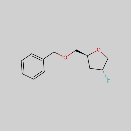 F[C@H]1CO[C@H](COCc2ccccc2)C1